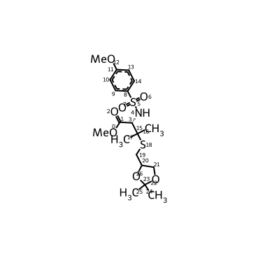 COC(=O)[C@H](NS(=O)(=O)c1ccc(OC)cc1)C(C)(C)SCC1COC(C)(C)O1